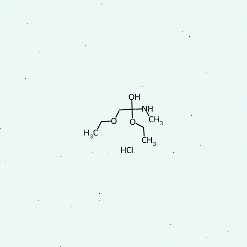 CCOCC(O)(NC)OCC.Cl